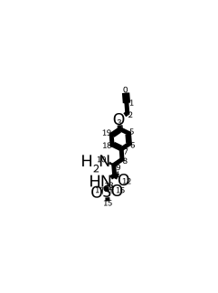 C#CCOc1ccc(C[C@H](N)C(=O)NS(C)(=O)=O)cc1